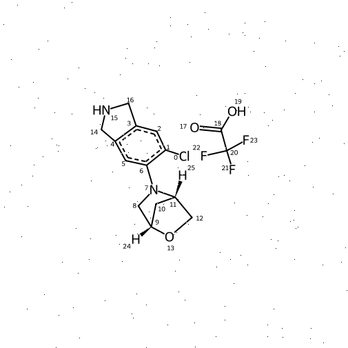 Clc1cc2c(cc1N1C[C@@H]3C[C@H]1CO3)CNC2.O=C(O)C(F)(F)F